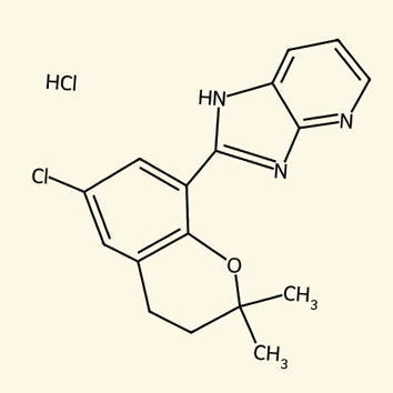 CC1(C)CCc2cc(Cl)cc(-c3nc4ncccc4[nH]3)c2O1.Cl